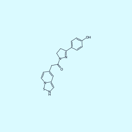 O=C(CC1=CC2=CNSN2C=C1)N1CCC(c2ccc(O)cc2)=N1